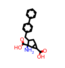 NC1(C(=O)O)C(Cc2ccc(-c3ccccc3)cc2)CC2C(C(=O)O)C21